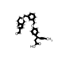 CC#CC(CC(=O)O)c1ccc(OCc2cccc(CN3CCc4sc(C=O)cc4C3)c2)cc1